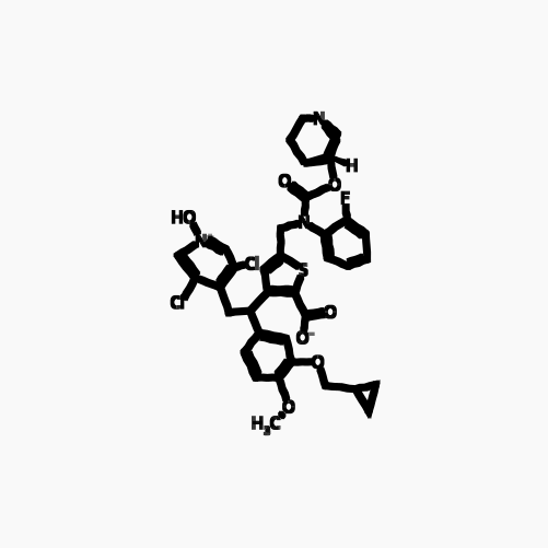 COc1ccc(C(Cc2c(Cl)c[n+](O)cc2Cl)c2cc(CN(C(=O)O[C@H]3CN4CCC3CC4)c3ccccc3F)sc2C(=O)[O-])cc1OCC1CC1